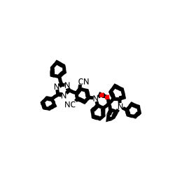 N#Cc1cc(N2c3ccccc3C3(c4ccccc4N(c4ccccc4)c4ccccc43)c3ccccc32)cc(C#N)c1-c1nc(-c2ccccc2)nc(-c2ccccc2)n1